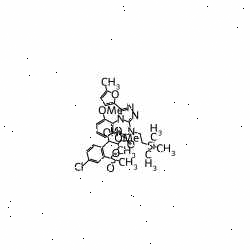 COc1cccc(OC)c1-n1c(-c2ccc(C)o2)nnc1N(CC[Si](C)(C)C)S(=O)(=O)C(C)C(O)c1ccc(Cl)cc1S(C)(=O)=O